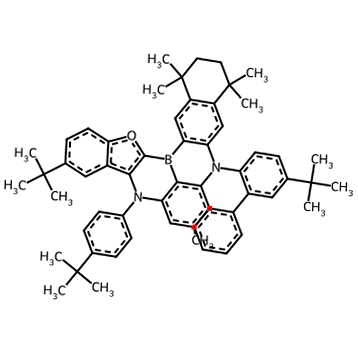 Cc1cc2c3c(c1)N(c1ccc(C(C)(C)C)cc1)c1c(oc4ccc(C(C)(C)C)cc14)B3c1cc3c(cc1N2c1ccc(C(C)(C)C)cc1-c1ccccc1)C(C)(C)CCC3(C)C